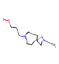 CN1CC2(CCN(CCCOI)CC2)C1